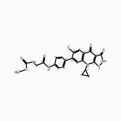 CC(C)(C)OC(=O)NCC(=O)Nc1ccc(-c2cc3c(cc2F)c(=O)c2c(=O)[nH]sc2n3C2CC2)cc1